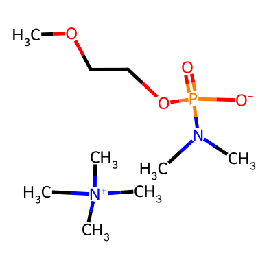 COCCOP(=O)([O-])N(C)C.C[N+](C)(C)C